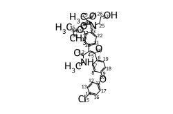 CNC(=O)c1c(-c2ccc(Oc3ccc(Cl)cc3)cc2)oc2cc(N(CCO)S(C)(=O)=O)c(OC(C)C)cc12